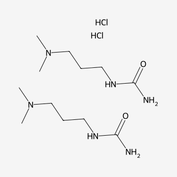 CN(C)CCCNC(N)=O.CN(C)CCCNC(N)=O.Cl.Cl